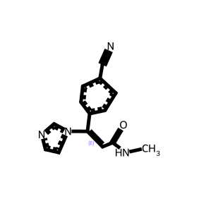 CNC(=O)/C=C(\c1ccc(C#N)cc1)n1ccnc1